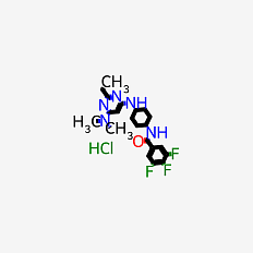 CCc1nc(N[C@H]2CC[C@@H](NC(=O)c3cc(F)c(F)c(F)c3)CC2)cc(N(C)C)n1.Cl